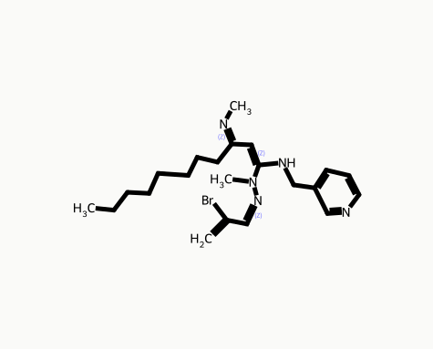 C=C(Br)/C=N\N(C)/C(=C\C(CCCCCCCC)=N/C)NCc1cccnc1